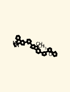 CC1(C)c2cc(-c3cccc(-c4ccc5c(c4)c4ccccc4c4nccnc54)c3)ccc2-c2ccc(-c3cccc(-c4cccc5c4oc4ccccc45)c3)cc21